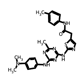 Cc1ccc(NC(=O)Cc2cnc(Nc3nc(C)nc(Nc4ccc(N(C)C)cc4)n3)s2)cc1